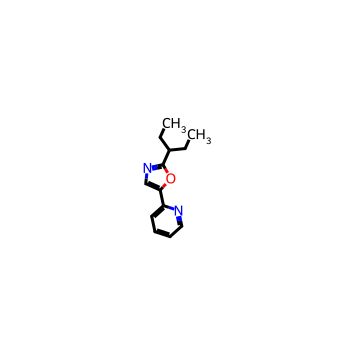 CCC(CC)c1ncc(-c2ccccn2)o1